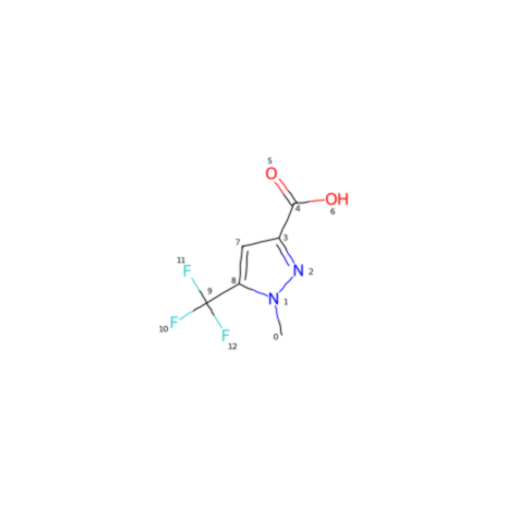 Cn1nc(C(=O)O)cc1C(F)(F)F